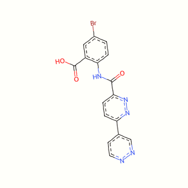 O=C(Nc1ccc(Br)cc1C(=O)O)c1ccc(-c2ccnnc2)nn1